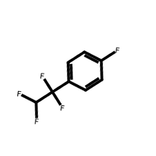 Fc1ccc(C(F)(F)C(F)F)cc1